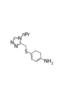 CCCn1cnnc1CSC1=CC=C(N)CC1